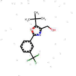 CC(C)(C)c1oc(-c2cccc(C(F)(F)F)c2)nc1CO